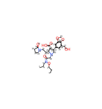 CCCON(CCC)C(=O)CN1C[C@H](c2cc(CO)c3c(c2)OCO3)[C@@H](C(=O)O)[C@@H]1CCN1CCCC1=O